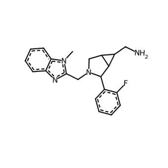 Cn1c(CN2CC3C(CN)C3C2c2ccccc2F)nc2ccccc21